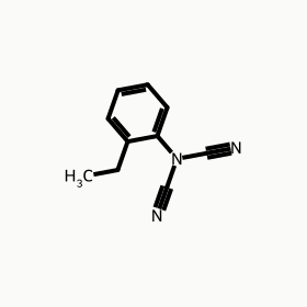 CCc1ccccc1N(C#N)C#N